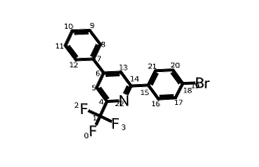 FC(F)(F)c1cc(-c2ccccc2)cc(-c2ccc(Br)cc2)n1